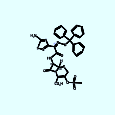 CS(=O)(=O)OC1=C(C(=O)O)N2C(=O)[C@@H](NC(=O)/C(=N\OC(c3ccccc3)(c3ccccc3)c3ccccc3)c3nsc(N)n3)[C@@H]2SC1